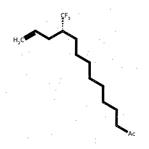 [CH2]C(=O)CCCCCCCC[C@H](CC=C)C(F)(F)F